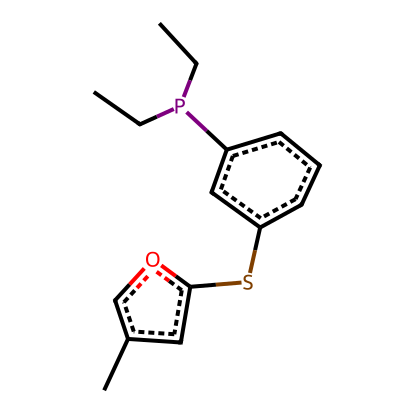 CCP(CC)c1cccc(Sc2cc(C)co2)c1